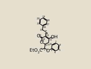 CCOC(=O)C(Oc1ccccc1)C1CC(O)=C(SCc2ccccc2)C(=O)O1